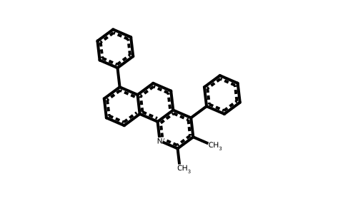 Cc1nc2c(ccc3c(-c4ccccc4)cccc32)c(-c2ccccc2)c1C